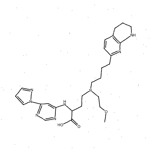 COCCN(CCCCc1ccc2c(n1)NCCC2)CCC(Nc1cc(-n2cccn2)ncn1)C(=O)O